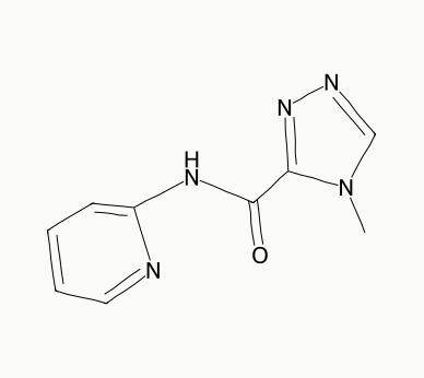 Cn1cnnc1C(=O)Nc1ccccn1